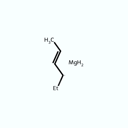 C/C=C/[CH]CC.[MgH2]